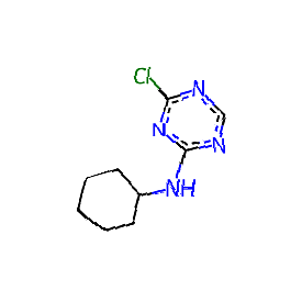 Clc1ncnc(NC2CCCCC2)n1